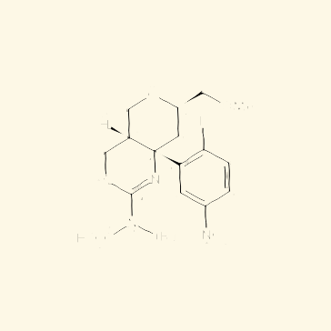 COC[C@H]1C[C@]2(c3cc([N+](=O)[O-])ccc3F)N=C(N(C(=O)O)C(C)(C)C)SC[C@@H]2CO1